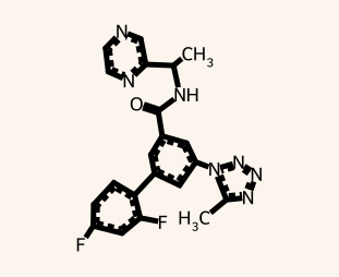 Cc1nnnn1-c1cc(C(=O)NC(C)c2cnccn2)cc(-c2ccc(F)cc2F)c1